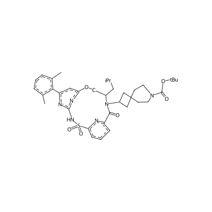 Cc1cccc(C)c1-c1cc2nc(n1)NS(=O)(=O)c1cccc(n1)C(=O)N(C1CC3(CCN(C(=O)OC(C)(C)C)CC3)C1)C(CC(C)C)CO2